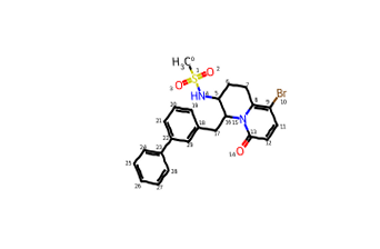 CS(=O)(=O)NC1CCc2c(Br)ccc(=O)n2C1Cc1cccc(-c2ccccc2)c1